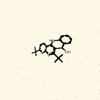 CC(C)(C)c1ccc2c3c(c(C(C)(C)C)nc2n1)C(O)c1ccccc1N3